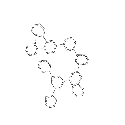 c1ccc(-c2cc(-c3ccccc3)cc(-c3nc(-c4cccc(-c5cccc(-c6ccc7c8ccccc8c8ccccc8c7c6)c5)c4)cc4ccccc34)c2)cc1